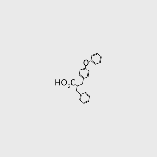 O=C(O)C(Cc1ccccc1)Cc1ccc(Oc2ccccc2)cc1